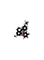 COc1cc2c(c(OC)c1)C(c1cccc(OC(F)(F)F)c1)(S(=O)(=O)c1c(F)c(F)c(F)c(F)c1F)NCC2